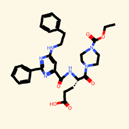 CCOC(=O)N1CCN(C(=O)[C@H](CCC(=O)O)NC(=O)c2cc(NCCc3ccccc3)nc(-c3ccccc3)n2)CC1